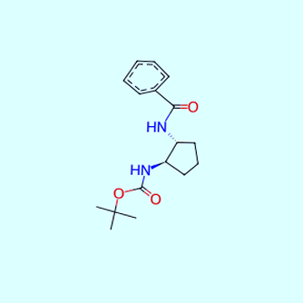 CC(C)(C)OC(=O)N[C@@H]1CCC[C@H]1NC(=O)c1ccccc1